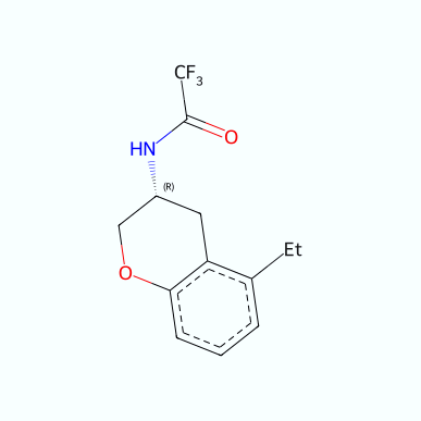 CCc1cccc2c1C[C@@H](NC(=O)C(F)(F)F)CO2